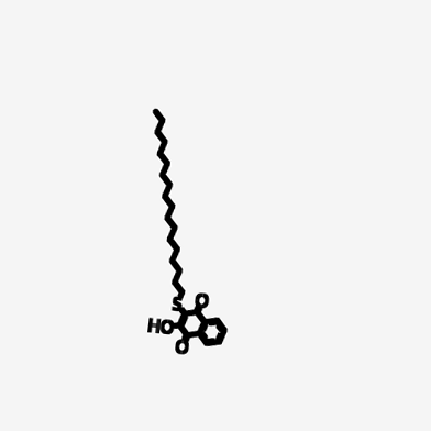 CCCCCCCCCCCCCCCCCCSC1=C(O)C(=O)c2ccccc2C1=O